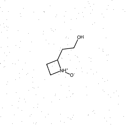 [O-][NH+]1CCC1CCO